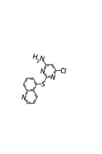 Nc1cc(Cl)nc(Sc2cccc3ncccc23)n1